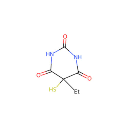 CCC1(S)C(=O)NC(=O)NC1=O